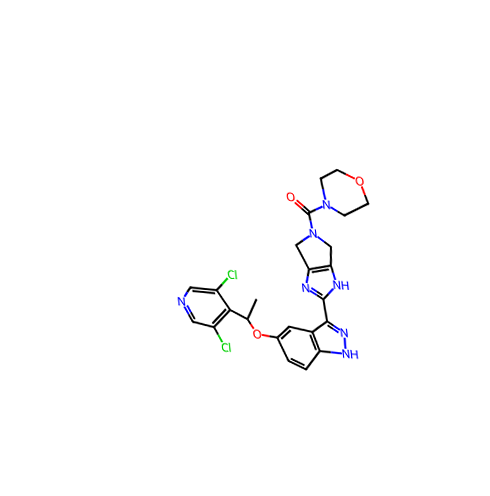 CC(Oc1ccc2[nH]nc(-c3nc4c([nH]3)CN(C(=O)N3CCOCC3)C4)c2c1)c1c(Cl)cncc1Cl